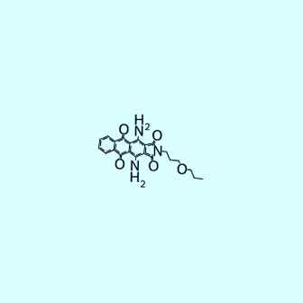 CCCOCCCn1c(=O)c2c(N)c3c(=O)c4ccccc4c(=O)c3c(N)c2c1=O